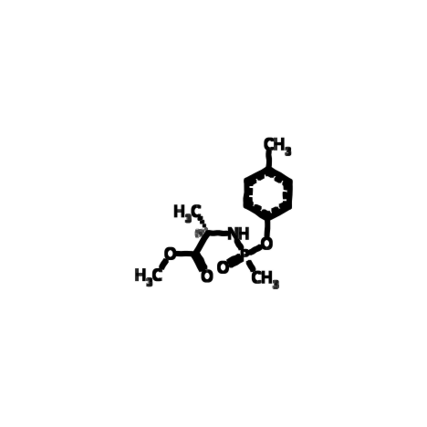 COC(=O)[C@H](C)NP(C)(=O)Oc1ccc(C)cc1